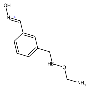 NCOBCc1cccc(/C=N/O)c1